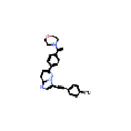 C=C(c1ccc(-c2ccc3ncc(C#Cc4ccc(C#N)cc4)n3n2)cc1)N1CCOCC1